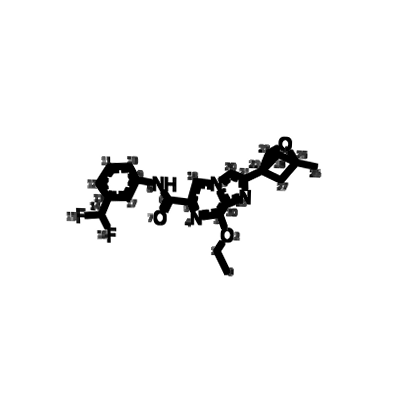 CCOc1nc(C(=O)Nc2cccc(C(F)F)c2)cn2cc(C34COC(C)(C3)C4)nc12